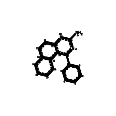 Nc1nc(-c2ccccc2)c2c(ccc3ccccc32)n1